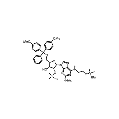 COc1ccc(C(OC[C@H]2O[C@@H](n3cnc4c(NCCO[Si](C)(C)C(C)(C)C)nc(NC(C)=O)nc43)[C@H](O[Si](C)(C)C(C)(C)C)[C@H]2O)(c2ccccc2)c2ccc(OC)cc2)cc1